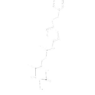 CNC(=O)C(CCC(=O)Nc1ccc(OCc2ccccc2)cc1)NC(=O)OC(C)(C)C